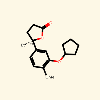 CC[C@]1(c2ccc(OC)c(OC3CCCC3)c2)CCC(=O)O1